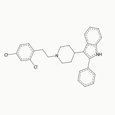 Clc1ccc(CCN2CCC(c3c(-c4ccccc4)[nH]c4ccccc34)CC2)c(Cl)c1